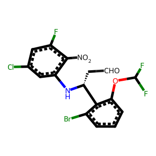 O=CC[C@@H](Nc1cc(Cl)cc(F)c1[N+](=O)[O-])c1c(Br)cccc1OC(F)F